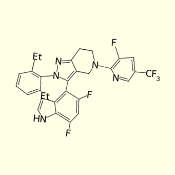 CCc1cccc(CC)c1-n1nc2c(c1-c1c(F)cc(F)c3[nH]ccc13)CN(c1ncc(C(F)(F)F)cc1F)CC2